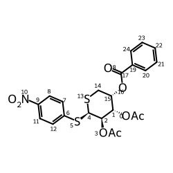 CC(=O)O[C@@H]1[C@@H](OC(C)=O)[C@@H](Sc2ccc([N+](=O)[O-])cc2)SC[C@@H]1OC(=O)c1ccccc1